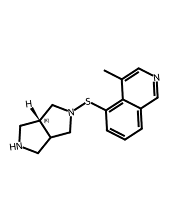 Cc1cncc2cccc(SN3CC4CNC[C@@H]4C3)c12